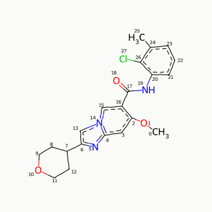 COc1cc2nc(C3CCOCC3)cn2cc1C(=O)Nc1cccc(C)c1Cl